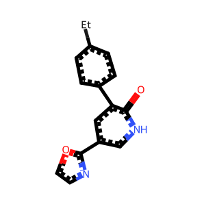 CCc1ccc(-c2cc(-c3ncco3)c[nH]c2=O)cc1